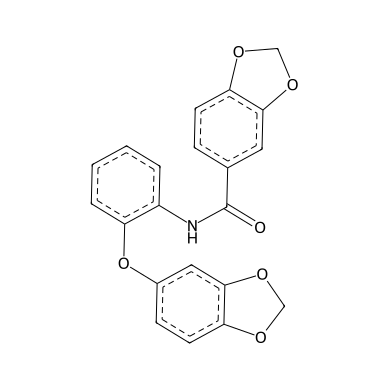 O=C(Nc1ccccc1Oc1ccc2c(c1)OCO2)c1ccc2c(c1)OCO2